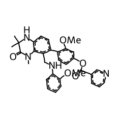 COc1ccccc1NCc1c(-c2ccc(OC(=O)c3cccnc3)cc2OC)ccc2c1N(C)C(=O)C(C)(C)N2